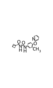 Cc1cc(NC(=O)NC(=O)C23CC(C2)C3)ccc1Oc1ccccn1